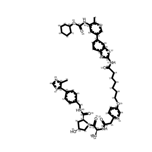 Cc1ncc(-c2ccc3nc(NC(=O)CCCCCCOc4ccc(CC(=O)N[C@H](C(=O)N5C[C@H](O)C[C@H]5C(=O)NCc5ccc(-c6scnc6C)cc5)C(C)(C)C)nc4)sc3c2)cc1NC(=O)OC1CCCCC1